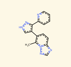 Cc1c(-c2c[nH]nc2-c2ccccn2)ccc2ncnn12